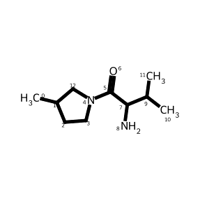 CC1CCN(C(=O)C(N)C(C)C)C1